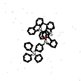 c1ccc([Si](c2ccccc2)(c2ccccc2)c2ccc(-n3c4ccccc4c4ccc(-n5c6ccccc6c6cccc(-c7cccc8sc9ccccc9c78)c65)cc43)cc2)cc1